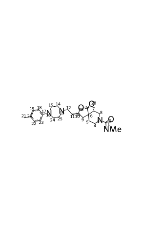 CNC(=O)N1CCC2(CC1)C[C@@H](CCN1CCN(c3ccc(C)cc3)CC1)OC2=O